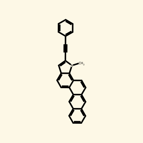 Cn1c(C#Cc2ccccc2)cc2ccc3c4cc5ccccc5cc4ccc3c21